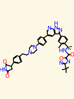 Cc1cc(-c2n[nH]c3ncc(-c4ccc(N5CCN(CCc6ccc(C7CC(=O)NC7=O)cc6)CC5)cc4)cc23)ccc1[C@@H](C)NC(=O)c1nc(C(C)(C)C)no1